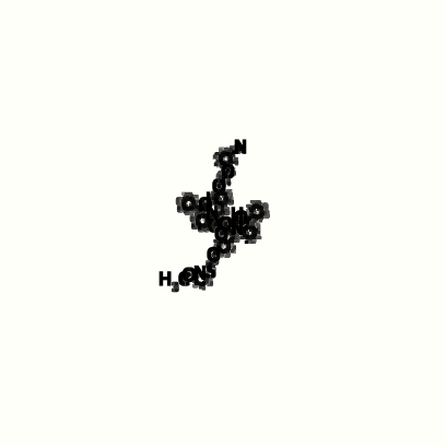 COc1cccc(SCCOc2ccc(CC(Nc3ccccc3C(=O)c3ccccc3)C(=O)OC(=O)C(Cc3ccc(OCCOc4cccc(C#N)c4)cc3)Nc3ccccc3C(=O)c3ccccc3)cc2)n1